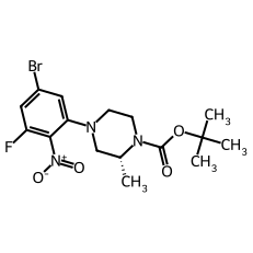 C[C@@H]1CN(c2cc(Br)cc(F)c2[N+](=O)[O-])CCN1C(=O)OC(C)(C)C